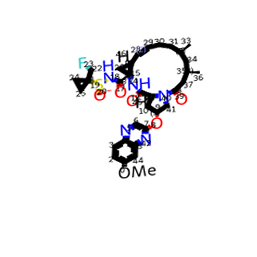 COc1ccc2ncc(O[C@H]3C[C@H]4C(=O)N[C@]5(C(=O)N[S+]([O-])C6(CF)CC6)C[C@H]5/C=C\CC[C@@H](C)C[C@@H](C)CC(=O)N4C3)nc2c1